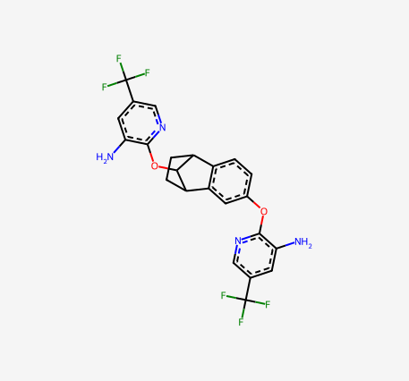 Nc1cc(C(F)(F)F)cnc1Oc1ccc2c(c1)C1CCC2C1Oc1ncc(C(F)(F)F)cc1N